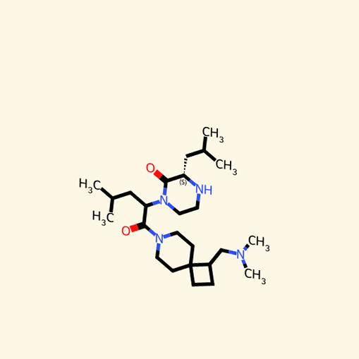 CC(C)CC(C(=O)N1CCC2(CCC2CN(C)C)CC1)N1CCN[C@@H](CC(C)C)C1=O